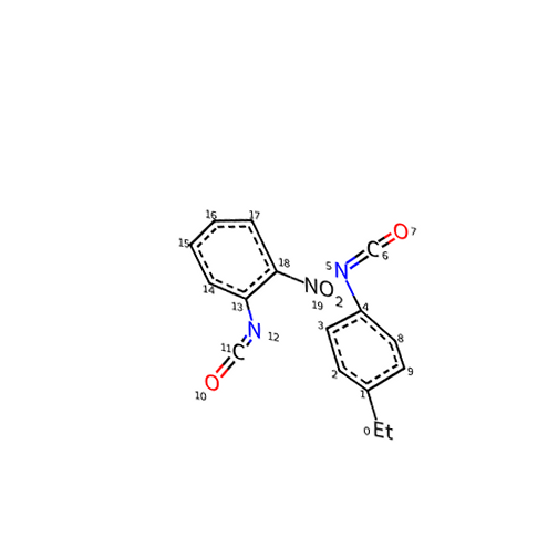 CCc1ccc(N=C=O)cc1.O=C=Nc1ccccc1[N+](=O)[O-]